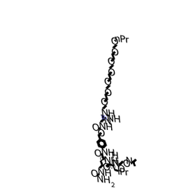 CCCOCCOCCOCCOCCOCCOCCOCCN/C=C(/CNC(=O)OCc1ccc(NC(=O)[C@H](CCCNC(N)=O)NC(=O)[C@H](CC(C)C)NC(=O)CON=C(C)C)cc1)N=N